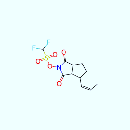 C/C=C\C1CCC2C(=O)N(OS(=O)(=O)C(F)F)C(=O)C12